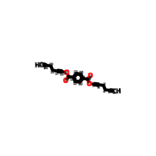 C#CCCC#COC(=O)c1ccc(C(=O)OC#CCCC#C)cc1